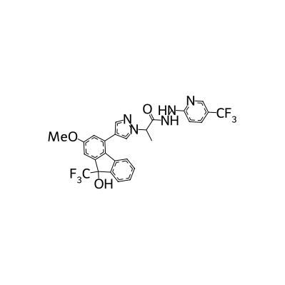 COc1cc(-c2cnn(C(C)C(=O)NNc3ccc(C(F)(F)F)cn3)c2)c2c(c1)C(O)(C(F)(F)F)c1ccccc1-2